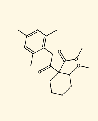 COC(=O)C1(C(=O)Cc2c(C)cc(C)cc2C)CCCCC1OC